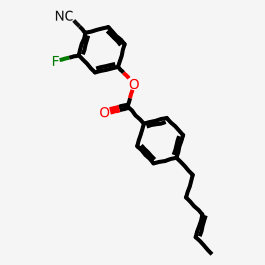 C/C=C/CCc1ccc(C(=O)Oc2ccc(C#N)c(F)c2)cc1